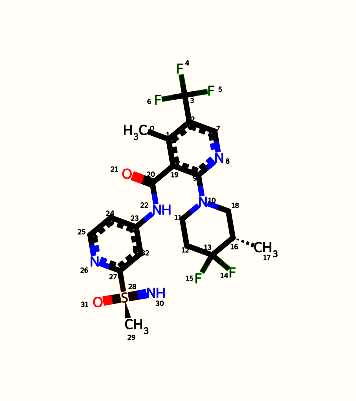 Cc1c(C(F)(F)F)cnc(N2CCC(F)(F)[C@@H](C)C2)c1C(=O)Nc1ccnc([S@](C)(=N)=O)c1